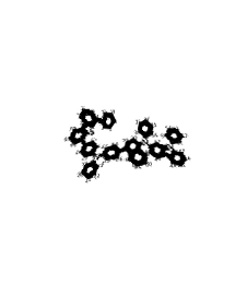 c1ccc(-c2cccc3c2sc2c(-c4ccc(N(c5ccccc5)c5ccc(-c6ccc(N(c7ccccc7)c7ccc8c9ccccc9n(-c9ccccc9)c8c7)c7ccccc67)cc5)cc4)cccc23)cc1